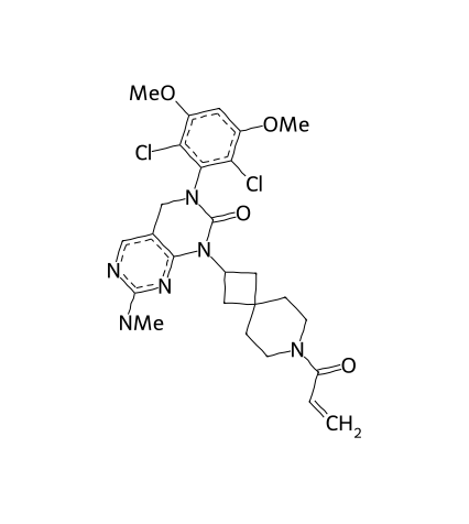 C=CC(=O)N1CCC2(CC1)CC(N1C(=O)N(c3c(Cl)c(OC)cc(OC)c3Cl)Cc3cnc(NC)nc31)C2